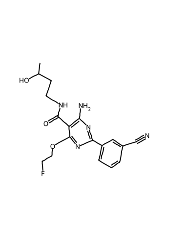 CC(O)CCNC(=O)c1c(N)nc(-c2cccc(C#N)c2)nc1OCCF